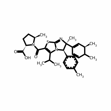 Cc1ccc([C@H]2N3C(=N[C@@]2(C)C2=C[C@@H](C)C(C)C=C2)SC(C(=O)N2[C@H](C)CC[C@H]2C(=O)O)=C3C(C)C)cc1